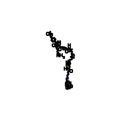 CC(=O)OCc1ccc(NC(=O)[C@H](CCCCN)NC(=O)COCC(=O)NC(C)(C)CCOC(C)(C)CCn2cc(CNC(=O)CCC/C=C/c3cnc(S(C)(=O)=O)nc3)nn2)cc1